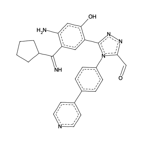 N=C(c1cc(-c2nnc(C=O)n2-c2ccc(-c3ccncc3)cc2)c(O)cc1N)C1CCCC1